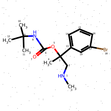 CNCC(C)(OC(=O)NC(C)(C)C)c1cccc(Br)c1